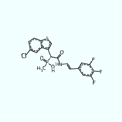 CP(=O)(O)C(C(=O)N/C=C/c1cc(F)c(F)c(F)c1)c1csc2ccc(Cl)cc12